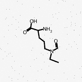 CCN(C=O)CCCC(N)C(=O)O